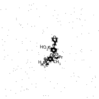 CN=S(C)(=O)c1ccc(N(CC(C)C)S(=O)(=O)c2ccc(OCC3CCOCC3)c(C(=O)O)c2)c(C)c1